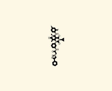 Cc1c(=O)n(C)c(Nc2ccc(I)cc2F)c2c(=O)n(C3CC3)c(=O)n(-c3cccc(NC(=O)Cn4cc(-c5ccccc5)nn4)c3)c12